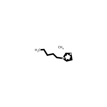 C.CCCCCn1ccnc1